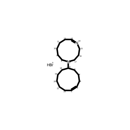 Br.C1=CCCCC(N2CCCCCC=NCCC2)CCCCC1